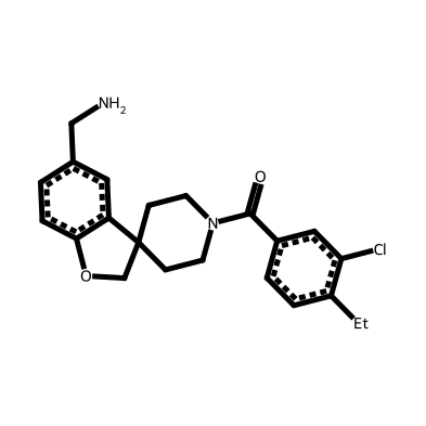 CCc1ccc(C(=O)N2CCC3(CC2)COc2ccc(CN)cc23)cc1Cl